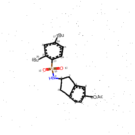 CC(=O)Oc1ccc2c(c1)CC(NS(=O)(=O)c1ccc(C(C)(C)C)cc1C(C)(C)C)C2